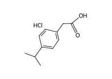 CC(C)c1ccc(CC(=O)O)cc1.Cl